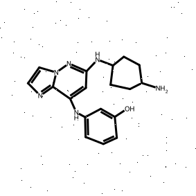 NC1CCC(Nc2cc(Nc3cccc(O)c3)c3nccn3n2)CC1